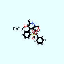 CCOC(=O)OC1=C(C)NC2=C(C(=O)OC2)C1c1ccccc1S(=O)(=O)Cc1ccccc1